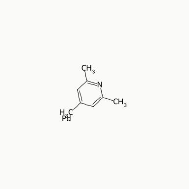 Cc1cc(C)nc(C)c1.[Pd]